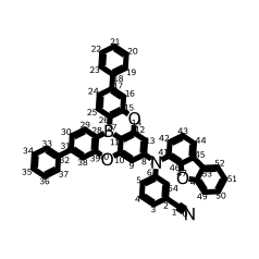 N#Cc1cccc(N(c2cc3c4c(c2)Oc2cc(-c5ccccc5)ccc2B4c2ccc(-c4ccccc4)cc2O3)c2cccc3c2oc2ccccc23)c1